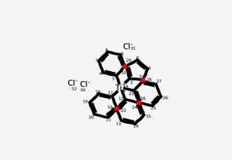 C1=CC[C]([Ti+3]([c]2ccccc2)([c]2ccccc2)([c]2ccccc2)[c]2ccccc2)=C1.[Cl-].[Cl-].[Cl-]